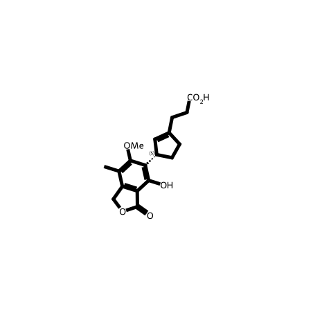 COc1c(C)c2c(c(O)c1[C@@H]1C=C(CCC(=O)O)CC1)C(=O)OC2